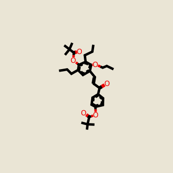 CCCOc1c(C=CC(=O)c2ccc(OC(=O)C(C)(C)C)cc2)cc(CCC)c(OC(=O)C(C)(C)C)c1CCC